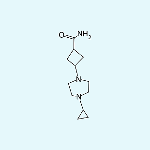 NC(=O)C1CC(N2CCN(C3CC3)CC2)C1